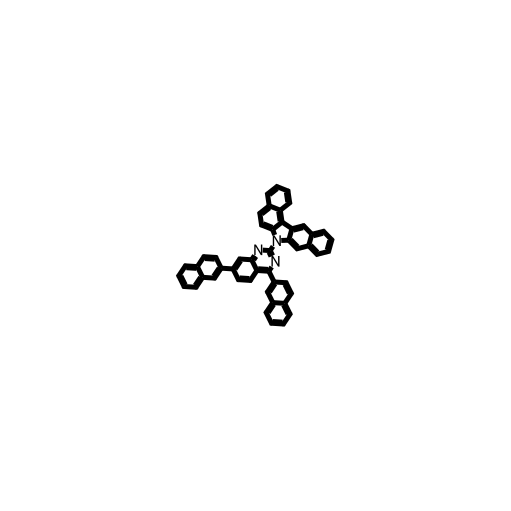 c1ccc2cc(-c3ccc4c(-c5ccc6ccccc6c5)nc(-n5c6cc7ccccc7cc6c6c7ccccc7ccc65)nc4c3)ccc2c1